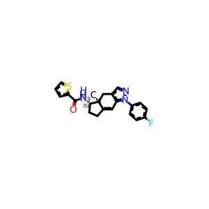 C[C@]12Cc3cnn(-c4ccc(F)cc4)c3C=C1CC[C@@H]2NC(=O)c1cccs1